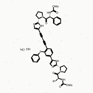 COC(=O)N[C@H](C(=O)N1CCC[C@H]1c1ncc(-c2ccc(C#CC#Cc3cnc([C@@H]4CCCN4C(=O)[C@H](NC(=O)OC)c4ccccc4)[nH]3)c(Sc3ccccc3)c2)[nH]1)C(C)C.Cl.Cl